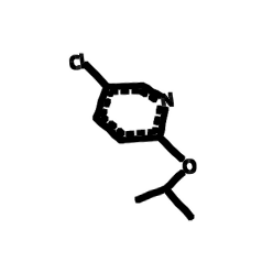 CC(C)Oc1ccc(Cl)cn1